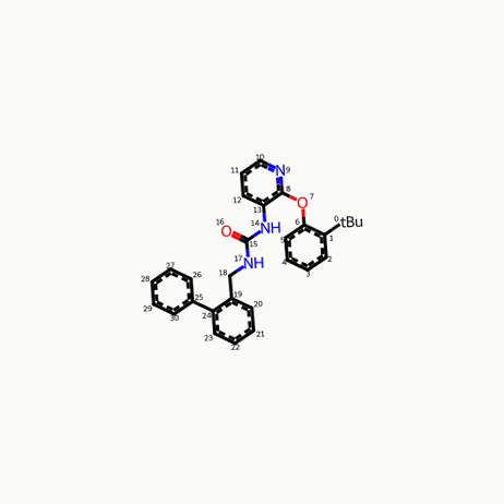 CC(C)(C)c1ccccc1Oc1ncccc1NC(=O)NCc1ccccc1-c1ccccc1